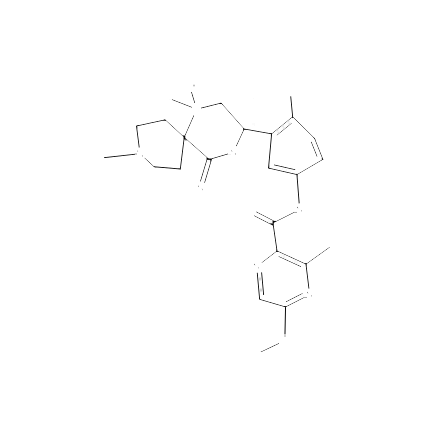 COc1cnc(C(=O)Nc2ccc(F)c([C@]3(C)CS(O)(O)C4(CCN(C)CC4)C(=N)N3)c2)c(C)n1